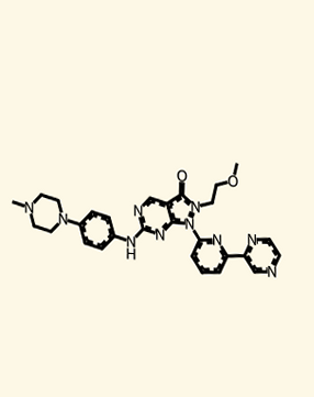 COCCn1c(=O)c2cnc(Nc3ccc(N4CCN(C)CC4)cc3)nc2n1-c1cccc(-c2cnccn2)n1